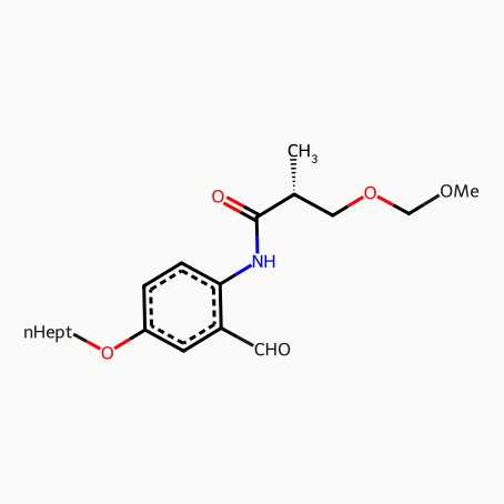 CCCCCCCOc1ccc(NC(=O)[C@H](C)COCOC)c(C=O)c1